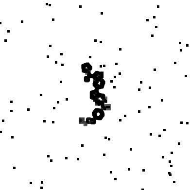 CO[C@H]1CC[C@H](Nc2ncc3c(-c4ccc5ncc(C(=O)N6CCCC6)n5c4)ccn3n2)CC1